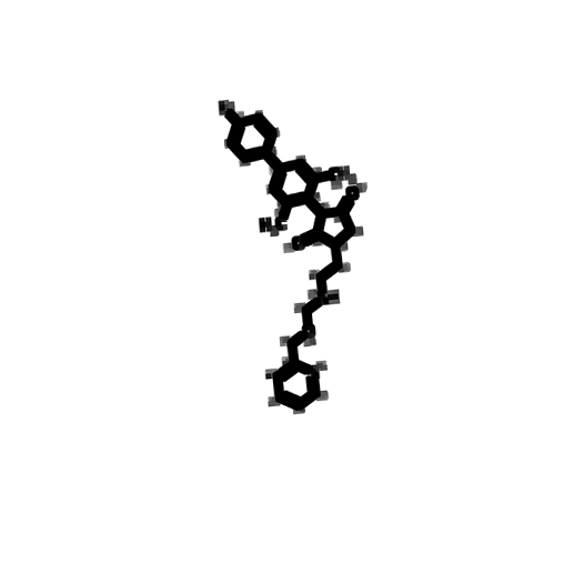 Cc1cc(-c2ccc(F)cc2)cc(C)c1C1C(=O)CC(CCNCOCc2ccccn2)C1=O